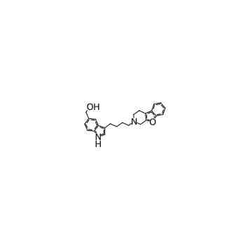 OCc1ccc2[nH]cc(CCCCN3CCc4c(oc5ccccc45)C3)c2c1